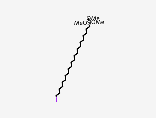 CO[Si](CCCCCCCCCCCCCCCCCCCCCCI)(OC)OC